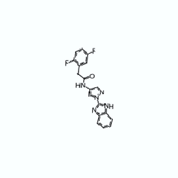 O=C(Cc1cc(F)ccc1F)Nc1cnn(-c2nc3ccccc3[nH]2)c1